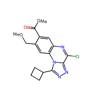 COCc1cc2c(cc1C(=O)OC)nc(Cl)c1nnc(C3CCC3)n12